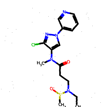 CN(C(=O)CCN(CC#N)[S+](C)[O-])c1cn(-c2cccnc2)nc1Cl